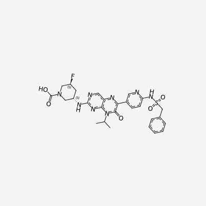 CC(C)n1c(=O)c(-c2ccc(NS(=O)(=O)Cc3ccccc3)nc2)nc2cnc(N[C@H]3C[C@H](F)CN(C(=O)O)C3)nc21